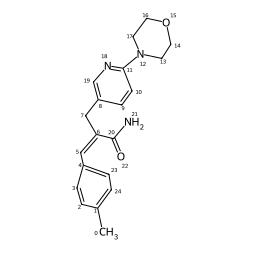 Cc1ccc(/C=C(/Cc2ccc(N3CCOCC3)nc2)C(N)=O)cc1